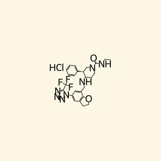 CCNC(=O)N1CC[C@@H](NCc2cc(-n3nnnc3C(F)(F)F)cc3c2OCC3)[C@@H](c2ccccc2)C1.Cl